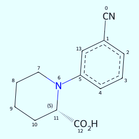 N#Cc1cccc(N2CCCC[C@H]2C(=O)O)c1